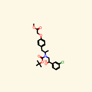 COC(=O)COc1ccc(CC(C)N(CC(O)c2cccc(Cl)c2)C(=O)OC(C)(C)C)cc1